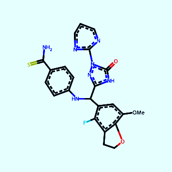 COc1cc(C(Nc2ccc(C(N)=S)cc2)c2nn(-c3ncccn3)c(=O)[nH]2)c(F)c2c1OCC2